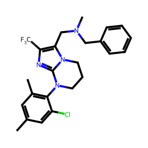 Cc1cc(C)c(N2CCCn3c2nc(C(F)(F)F)c3CN(C)Cc2ccccc2)c(Cl)c1